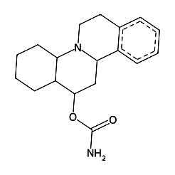 NC(=O)OC1CC2c3ccccc3CCN2C2CCCCC12